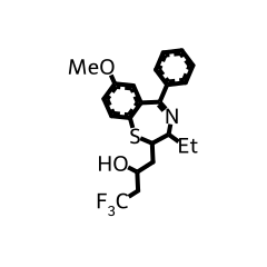 CCC1N=C(c2ccccc2)c2cc(OC)ccc2SC1CC(O)CC(F)(F)F